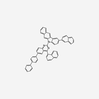 c1ccc(-c2ccc(-c3ccc4nc(-n5c6ccc(-c7ccc8ccccc8c7)cc6c6cc7ccccc7cc65)nc(-c5cccc6ccccc56)c4c3)cc2)cc1